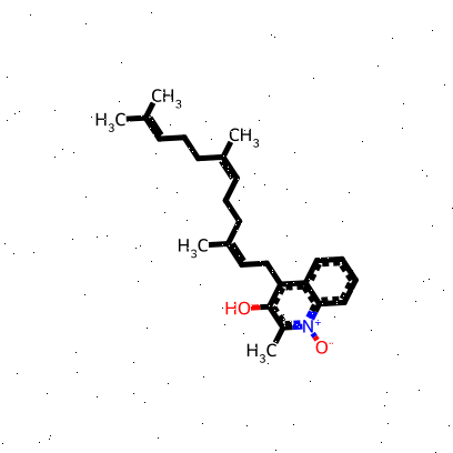 CC(C)=CCCC(C)=CCCC(C)=CCc1c(O)c(C)[n+]([O-])c2ccccc12